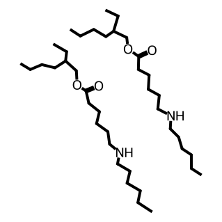 CCCCCCNCCCCCC(=O)OCC(CC)CCCC.CCCCCCNCCCCCC(=O)OCC(CC)CCCC